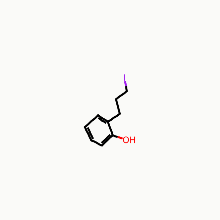 Oc1ccccc1CCCI